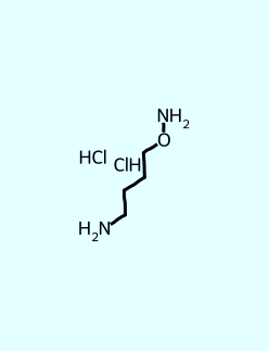 Cl.Cl.NCCCCON